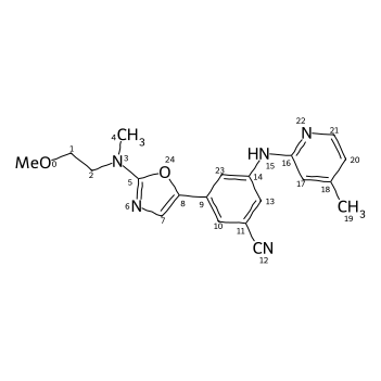 COCCN(C)c1ncc(-c2cc(C#N)cc(Nc3cc(C)ccn3)c2)o1